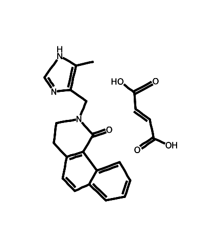 Cc1[nH]cnc1CN1CCc2ccc3ccccc3c2C1=O.O=C(O)C=CC(=O)O